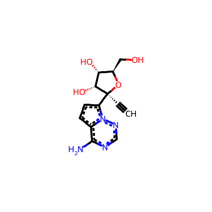 C#C[C@@]1(c2ccc3c(N)ncnn23)O[C@H](CO)[C@@H](O)[C@H]1O